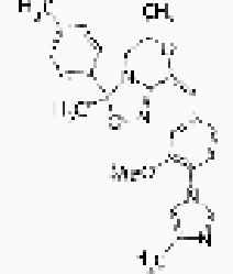 COc1cc(/C=C2/O[C@@H](C)CN3C2=NO[C@]3(C)c2ccc(C)cc2)ccc1-n1cnc(C)c1